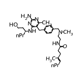 CCC/C=C(\C)CCC(=O)NCCN(C)Cc1ccc(Cc2c(C)nc(N)nc2N[C@@H](CCC)CCO)cc1